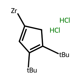 CC(C)(C)C1=C(C(C)(C)C)C[C]([Zr])=C1.Cl.Cl